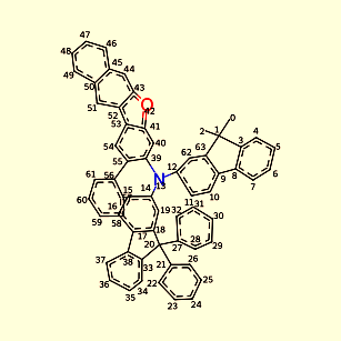 CC1(C)c2ccccc2-c2ccc(N(c3ccc4c(c3)C(c3ccccc3)(c3ccccc3)c3ccccc3-4)c3cc4oc5cc6ccccc6cc5c4cc3-c3ccccc3)cc21